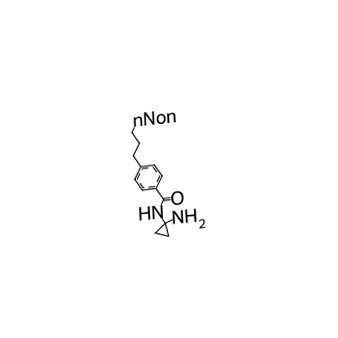 CCCCCCCCCCCCc1ccc(C(=O)NC2(N)CC2)cc1